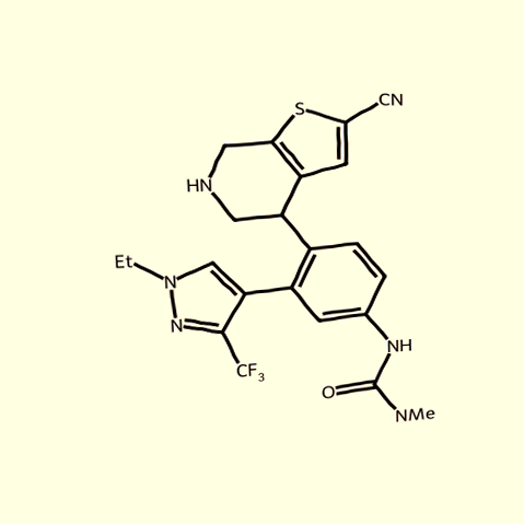 CCn1cc(-c2cc(NC(=O)NC)ccc2C2CNCc3sc(C#N)cc32)c(C(F)(F)F)n1